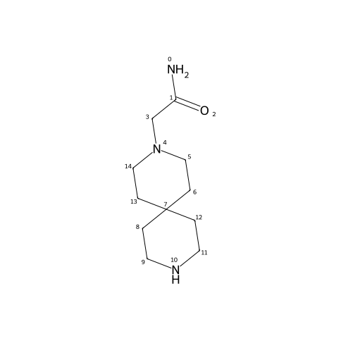 NC(=O)CN1CCC2(CCNCC2)CC1